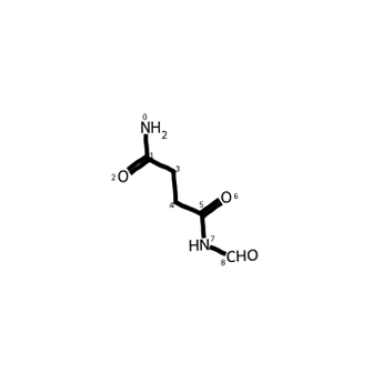 NC(=O)CCC(=O)NC=O